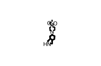 CS(=O)(=O)N1CCN(c2ccc3c[nH]cc3c2)CC1